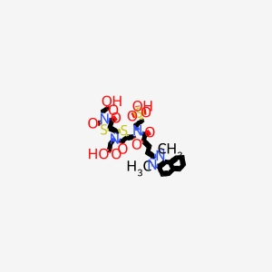 CN1C(=CC=c2o/c(=c3/s/c(=C4/SC(=O)N(CC(=O)O)C4=O)n(CC(=O)O)c3=O)n(CCS(=O)(=O)O)c2=O)N(C)c2c1ccc1ccccc21